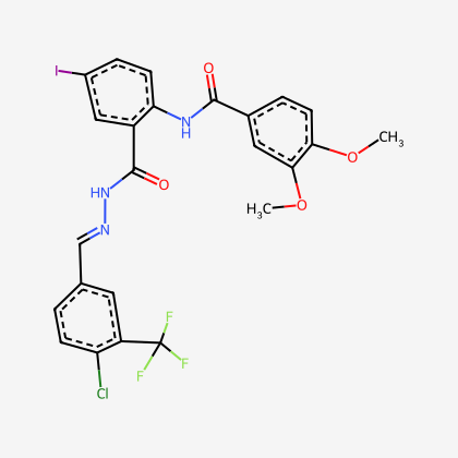 COc1ccc(C(=O)Nc2ccc(I)cc2C(=O)NN=Cc2ccc(Cl)c(C(F)(F)F)c2)cc1OC